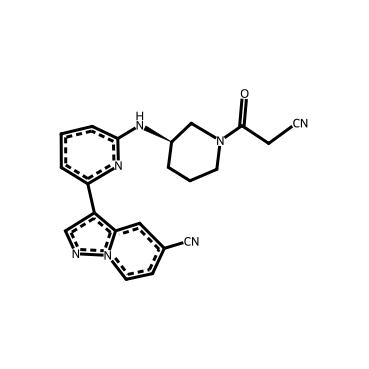 N#CCC(=O)N1CCC[C@@H](Nc2cccc(-c3cnn4ccc(C#N)cc34)n2)C1